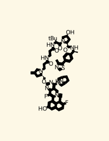 C#Cc1c(F)ccc2cc(O)cc(-c3ncc4c(N5CC6CCC(C5)N6)nc(OC[C@@H]5CC(=C)CN5CCC(=O)NCCC(=O)N[C@H](C(=O)N5C[C@H](O)C[C@H]5C(=O)N[C@@H](C)c5ccc(-c6scnc6C)cc5)C(C)(C)C)nc4c3F)c12